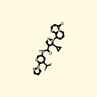 O=C(Nc1cnc(-n2cccn2)c(C(F)F)c1)c1cnn(-c2cccn3c(=O)ccnc23)c1C1CC1